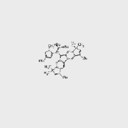 CCCC[C](CCCC)=[Zr]([C]1=CC(C(C)(C)C)=CC1C)[CH]1c2cc3c(cc2-c2cc4c(cc21)C(C)(C)C=C4C(C)(C)C)C(C(C)(C)C)=CC3(C)C